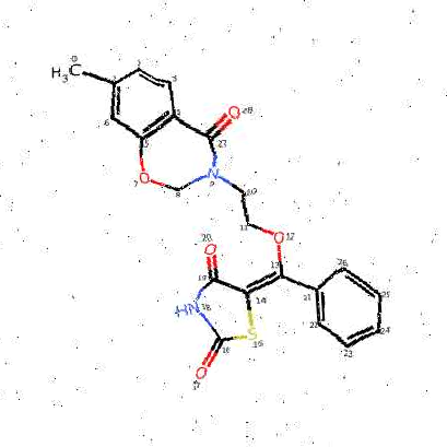 Cc1ccc2c(c1)OCN(CCOC(=C1SC(=O)NC1=O)c1ccccc1)C2=O